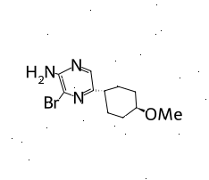 CO[C@H]1CC[C@H](c2cnc(N)c(Br)n2)CC1